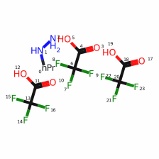 CCCNN.O=C(O)C(F)(F)F.O=C(O)C(F)(F)F.O=C(O)C(F)(F)F